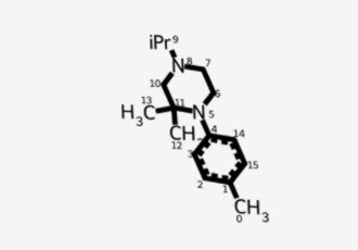 Cc1ccc(N2CCN(C(C)C)CC2(C)C)cc1